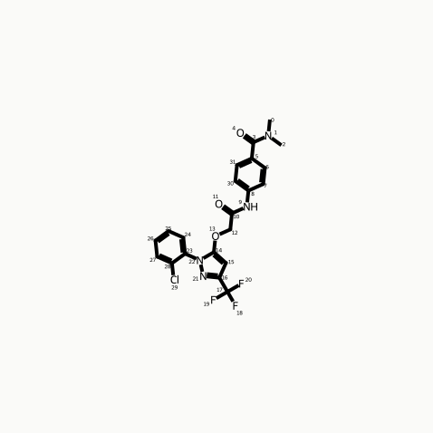 CN(C)C(=O)c1ccc(NC(=O)COc2cc(C(F)(F)F)nn2-c2ccccc2Cl)cc1